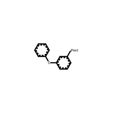 CCCC(C)c1cccc(Oc2ccccc2)c1